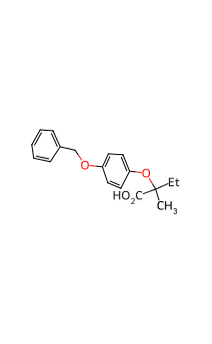 CCC(C)(Oc1ccc(OCc2ccccc2)cc1)C(=O)O